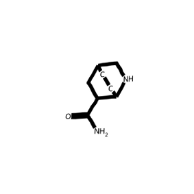 NC(=O)C1CC2CCC1NC2